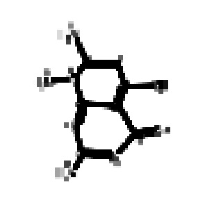 Cc1cc(N)n(C)c2nc(N)nc(=O)c1-2